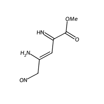 COC(=O)C(=N)/C=C(\N)CN=O